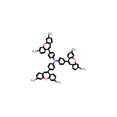 Cc1ccc2c(c1)Oc1cc(C)ccc1C(c1ccc(N(c3ccc(C4=Cc5ccc(C)cc5Oc5cc(C)ccc54)cc3)c3ccc(C4=Cc5ccc(C)cc5Oc5cc(C)ccc54)cc3)cc1)=C2